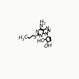 CCCSc1nc(N)c2nnn([C@@H]3C=C[C@@H](O)C3O)c2n1